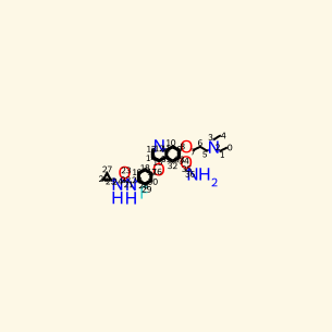 CCN(CC)CCCOc1cc2nccc(Oc3ccc(NC(=O)NC4CC4)c(F)c3)c2cc1OCN